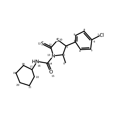 CC1C(c2ccc(Cl)cc2)SC(=S)N1C(=O)NC1CCCCC1